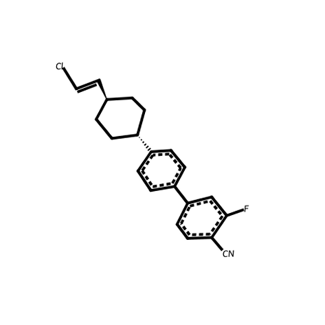 N#Cc1ccc(-c2ccc([C@H]3CC[C@H](/C=C/Cl)CC3)cc2)cc1F